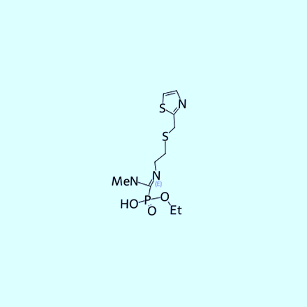 CCOP(=O)(O)/C(=N/CCSCc1nccs1)NC